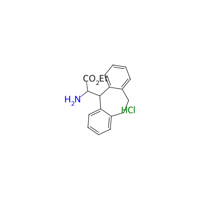 CCOC(=O)C(N)C1c2ccccc2CCc2ccccc21.Cl